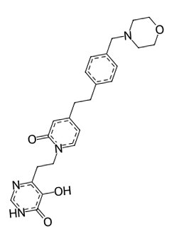 O=c1[nH]cnc(CCn2ccc(CCc3ccc(CN4CCOCC4)cc3)cc2=O)c1O